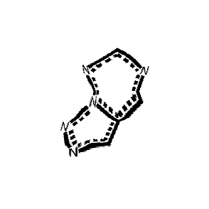 c1ncc2cnnn2n1